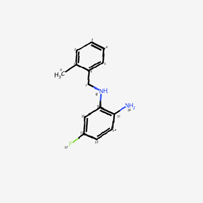 Cc1ccccc1CNc1cc(F)ccc1N